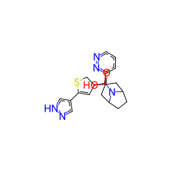 O=C(C1C=C(c2cn[nH]c2)SC1)N1C2CCC1CC(O)(c1cccnn1)C2